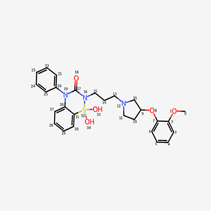 COc1ccccc1OC1CCN(CCCN2C(=O)N(c3ccccc3)c3ccccc3S2(O)O)C1